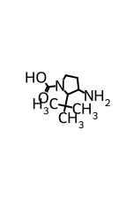 CC(C)(C)C1C(N)CCN1C(=O)O